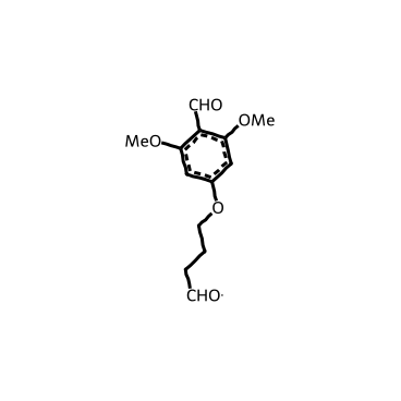 COc1cc(OCCC[C]=O)cc(OC)c1C=O